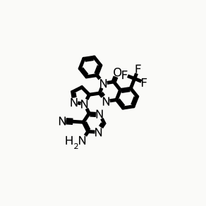 N#Cc1c(N)ncnc1N1N=CCC1c1nc2cccc(C(F)(F)F)c2c(=O)n1-c1ccccc1